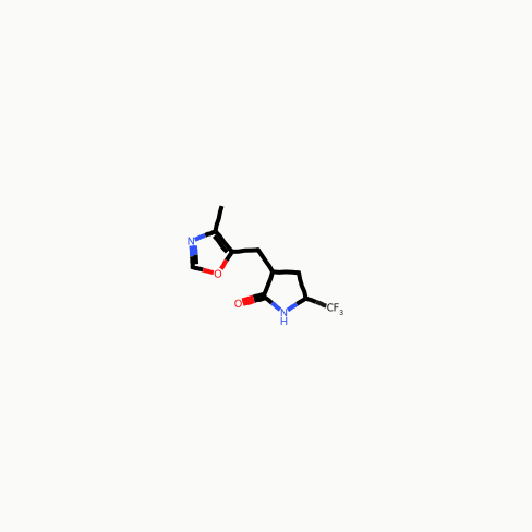 Cc1ncoc1CC1CC(C(F)(F)F)NC1=O